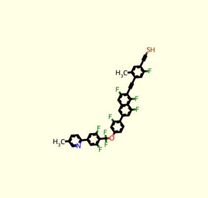 Cc1ccc(-c2cc(F)c(C(F)(F)Oc3ccc(-c4cc(F)c5c(F)c(C#Cc6cc(F)c(C#CS)cc6C)c(F)cc5c4)c(F)c3)c(F)c2)nc1